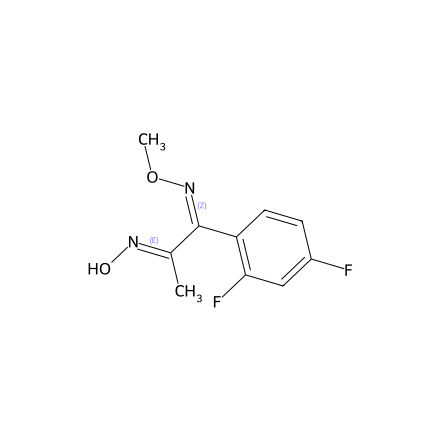 CO/N=C(\C(C)=N\O)c1ccc(F)cc1F